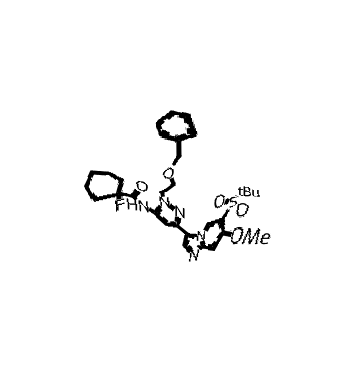 COc1cc2ncc(-c3cc(NC(=O)C4(F)CCCCC4)n(CCOCc4ccccc4)n3)n2cc1S(=O)(=O)C(C)(C)C